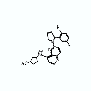 OC1CCC(Nc2ccnc3ccc(N4CCCC4c4cc(F)ccc4F)nc23)C1